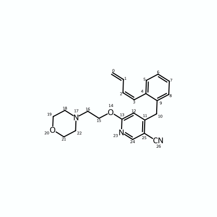 C=C/C=C\c1ccccc1Cc1cc(OCCN2CCOCC2)ncc1C#N